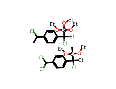 CCO[Si](C)(OCC)C(Cl)(CC)c1ccc(C(Cl)Cl)cc1.CCO[Si](OCC)(OCC)C(Cl)(CC)c1ccc(C(C)Cl)cc1